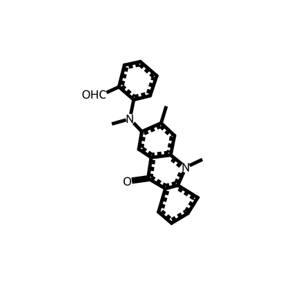 Cc1cc2c(cc1N(C)c1ccccc1C=O)c(=O)c1ccccc1n2C